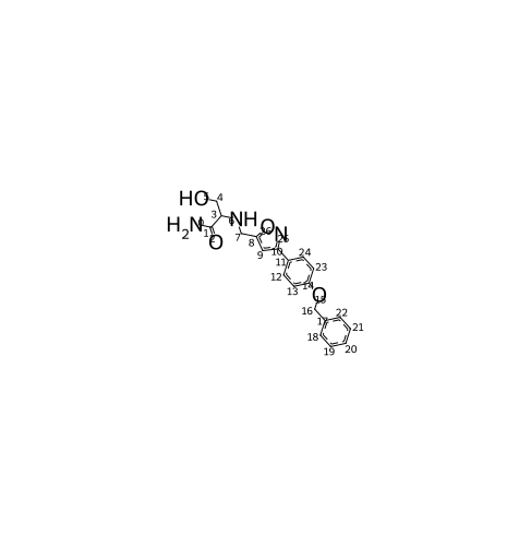 NC(=O)C(CO)NCc1cc(-c2ccc(OCc3ccccc3)cc2)no1